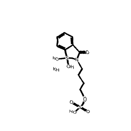 O=C1c2ccccc2S(O)(O)N1CCCCOS(=O)(=O)O.[KH]